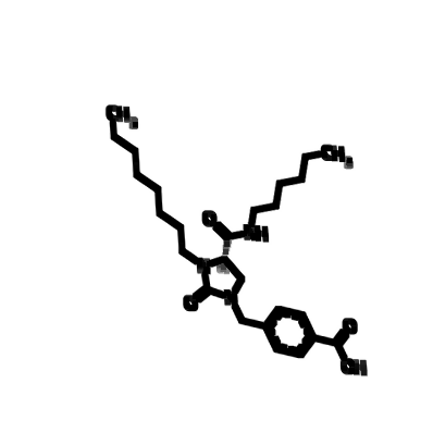 CCCCCCCCN1C(=O)N(Cc2ccc(C(=O)O)cc2)C[C@H]1C(=O)NCCCCCC